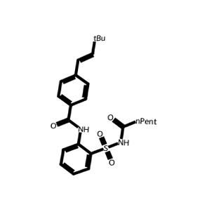 CCCCCC(=O)NS(=O)(=O)c1ccccc1NC(=O)c1ccc(C=CC(C)(C)C)cc1